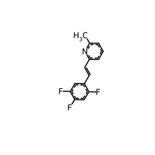 Cc1cccc(/C=C/c2cc(F)c(F)cc2F)n1